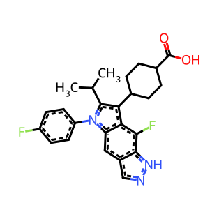 CC(C)c1c(C2CCC(C(=O)O)CC2)c2c(F)c3[nH]ncc3cc2n1-c1ccc(F)cc1